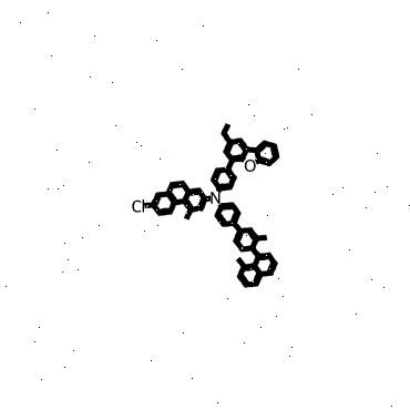 CCc1cc(-c2ccc(N(c3ccc(C4=CCC(c5cccc6cccc(C)c56)C(C)=C4)cc3)c3cc(C)c4c(ccc5cc(Cl)ccc54)c3)cc2)c2oc3ccccc3c2c1